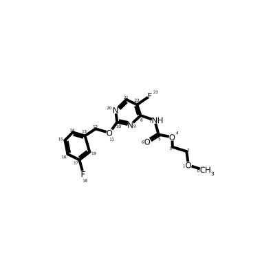 COCCOC(=O)Nc1nc(OCc2cccc(F)c2)ncc1F